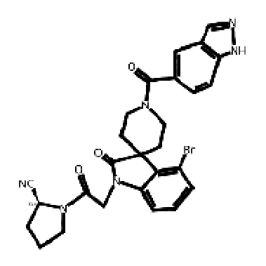 N#C[C@@H]1CCCN1C(=O)CN1C(=O)C2(CCN(C(=O)c3ccc4[nH]ncc4c3)CC2)c2c(Br)cccc21